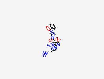 COc1cnc(-n2ccc(CCn3cncn3)n2)c2[nH]cc(C(=O)C(=O)N3CCN(C(=O)c4ccccc4)[C@H](C)C3)c12